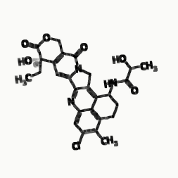 CC[C@@]1(O)C(=O)OCc2c1cc1n(c2=O)Cc2c-1nc1cc(Cl)c(C)c3c1c2C(NC(=O)C(C)O)CC3